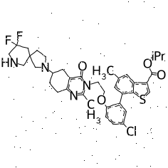 Cc1cc(-c2cc(Cl)ccc2OCCn2c(C)nc3c(c2=O)CC(N2CCC4(CNCC(F)(F)C4)C2)CC3)c2scc(C(=O)OC(C)C)c2c1